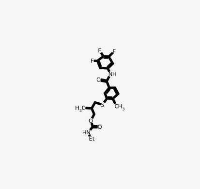 CCNC(=O)OCC(C)CSc1cc(C(=O)Nc2cc(F)c(F)c(F)c2)ccc1C